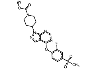 CC(C)OC(=O)N1CCC(n2ncc3c(Oc4ccc(S(C)(=O)=O)cc4F)ncnc32)CC1